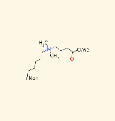 CCCCCCCCCCCCCC[N+](C)(C)CCCC(=O)OC